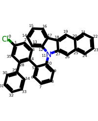 Clc1ccc(-c2ccccc2-n2c3ccccc3c3cc4ccccc4cc32)c(-c2ccccc2)c1